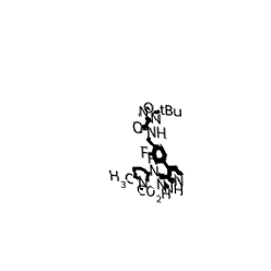 C[C@H]1CC[C@@H](Nc2n[nH]c3nccc(-c4ccc(CNC(=O)c5noc(C(C)(C)C)n5)c(F)c4)c23)CN1C(=O)O